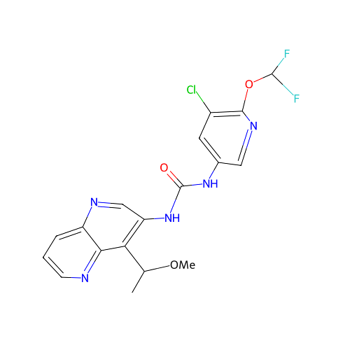 COC(C)c1c(NC(=O)Nc2cnc(OC(F)F)c(Cl)c2)cnc2cccnc12